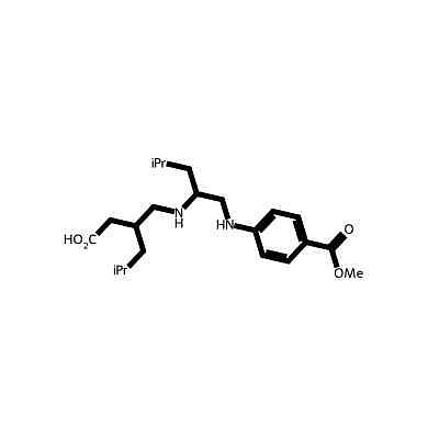 COC(=O)c1ccc(NCC(CC(C)C)NCC(CC(=O)O)CC(C)C)cc1